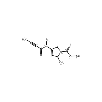 CC#CC(=O)N(C)C1=CC(C)N(C(=O)OC(C)(C)C)C1